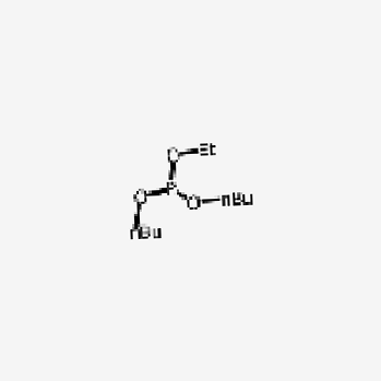 CCCCOP(OCC)OCCCC